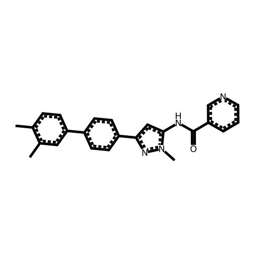 Cc1ccc(-c2ccc(-c3cc(NC(=O)c4cccnc4)n(C)n3)cc2)cc1C